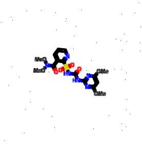 COc1cc(OC)nc(NC(=O)NS(=O)(=O)c2ncccc2C(=O)N(OC)OC)n1